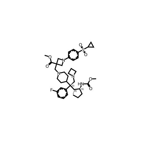 COC(=O)N[C@H]1CCC[C@@H]1[C@](CN1CCC1)(c1cccc(F)c1)C1CCN(CC2(C(=O)OC)CN(c3ccc(S(=O)(=O)C4CC4)cc3)C2)CC1